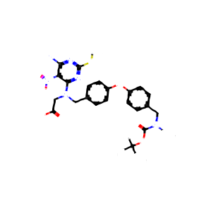 CSc1nc(N)c([N+](=O)[O-])c(N(CC(=O)O)Cc2ccc(Oc3ccc(CN(C)C(=O)OC(C)(C)C)cc3)cc2)n1